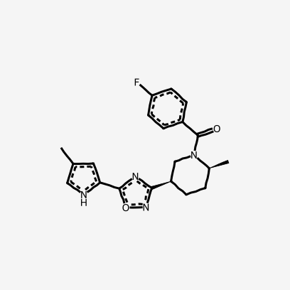 Cc1c[nH]c(-c2nc([C@@H]3CC[C@H](C)N(C(=O)c4ccc(F)cc4)C3)no2)c1